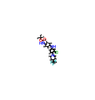 CC(C)(C)OC(=O)NC1CCC(Nc2ccc(N3CCC(C(F)(F)F)CC3)c(Cl)c2)CC1